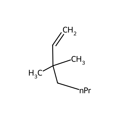 C=CC(C)(C)CCCC